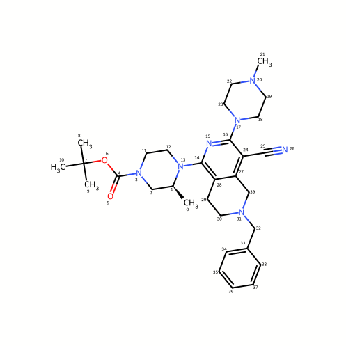 C[C@H]1CN(C(=O)OC(C)(C)C)CCN1c1nc(N2CCN(C)CC2)c(C#N)c2c1CCN(Cc1ccccc1)C2